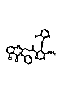 Nc1ncnc(NCCc2nc3cccc(Cl)c3c(=O)n2-c2ccccc2)c1C#Cc1ncccc1F